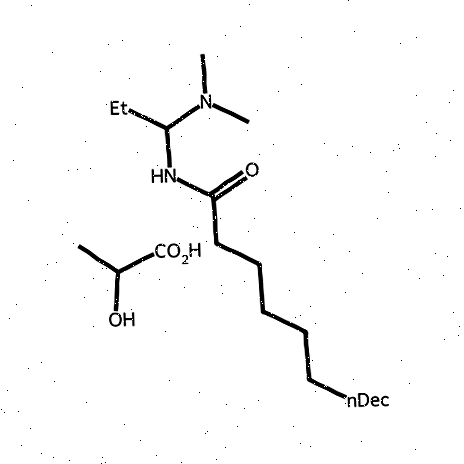 CC(O)C(=O)O.CCCCCCCCCCCCCCCC(=O)NC(CC)N(C)C